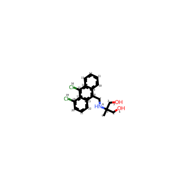 CC(CO)(CO)NCc1c2ccccc2c(Cl)c2c(Cl)cccc12